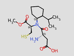 COC(=O)[C@H](CS)N(C(=O)[C@@H](N)CC(=O)O)[C@H]1CCCCC1C(C)C